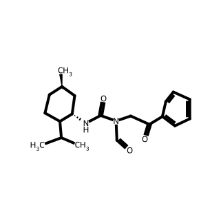 CC(C)C1CC[C@@H](C)C[C@@H]1NC(=O)N(C=O)CC(=O)c1ccccc1